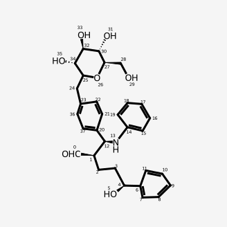 O=C[C@H](CC[C@H](O)c1ccccc1)[C@H](Nc1ccccc1)c1ccc(CC2O[C@H](CO)[C@@H](O)[C@H](O)[C@H]2O)cc1